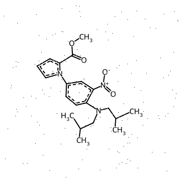 COC(=O)c1cccn1-c1ccc(N(CC(C)C)CC(C)C)c([N+](=O)[O-])c1